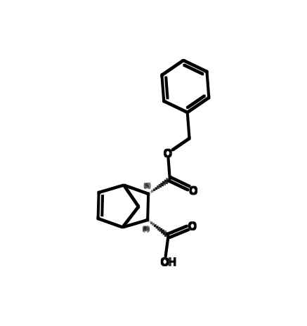 O=C(O)[C@@H]1C2C=CC(C2)[C@@H]1C(=O)OCc1ccccc1